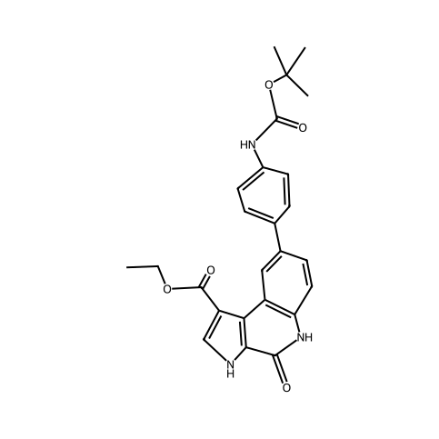 CCOC(=O)c1c[nH]c2c(=O)[nH]c3ccc(-c4ccc(NC(=O)OC(C)(C)C)cc4)cc3c12